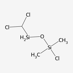 C[Si](C)(Cl)O[SiH2]C(Cl)Cl